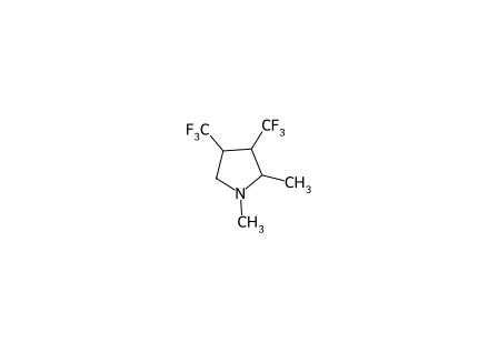 CC1C(C(F)(F)F)C(C(F)(F)F)CN1C